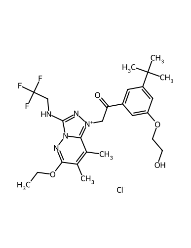 CCOc1nn2c(NCC(F)(F)F)n[n+](CC(=O)c3cc(OCCO)cc(C(C)(C)C)c3)c2c(C)c1C.[Cl-]